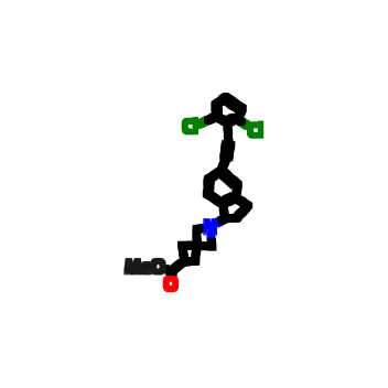 COC(=O)C1CC2(C1)CN(C1CCc3cc(C#Cc4c(Cl)cccc4Cl)ccc31)C2